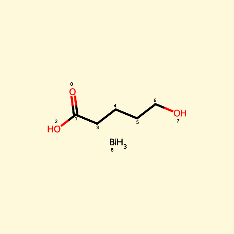 O=C(O)CCCCO.[BiH3]